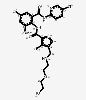 COc1cc(Cl)cc(C(=O)Nc2ccc(Cl)cn2)c1NC(=O)c1scc(CNCCOCCO)c1Cl